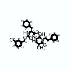 CC1C[C@H](NC(=O)[C@H](CC2CCCCC2)NC(=O)OCc2cccc(Cl)c2)C(O)N(CCc2ccccc2)C1=O